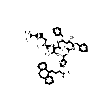 CC(C)c1nc(CN(C)C(=O)N[C@H](C(=O)N[C@@H](Cc2ccccc2)C[C@H](O)[C@H](Cc2ccccc2)NC(=O)OCc2cncs2)C(C)C)cs1.CNCCC=C1c2ccccc2CCc2ccccc21